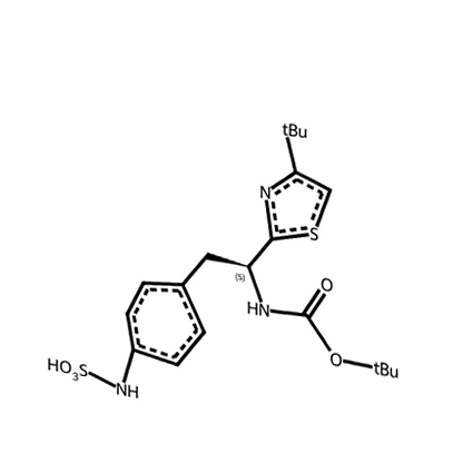 CC(C)(C)OC(=O)N[C@@H](Cc1ccc(NS(=O)(=O)O)cc1)c1nc(C(C)(C)C)cs1